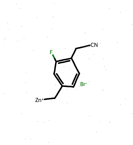 N#CCc1ccc([CH2][Zn+])cc1F.[Br-]